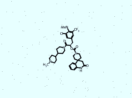 CNc1c(Cl)cc(C[C@@H](OC(=O)N2CCC3(CC2)CC(=O)Nc2ccccc23)C(=O)N2CCC(C3CCN(C)CC3)CC2)cc1C(F)(F)F